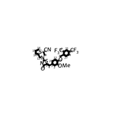 COc1cc(/C=C2\SC(N(CCC#N)Cc3cccs3)=NC2=O)ccc1OCc1ccc(C(F)(F)F)cc1C(F)(F)F